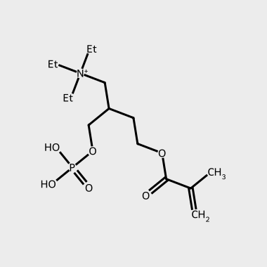 C=C(C)C(=O)OCCC(COP(=O)(O)O)C[N+](CC)(CC)CC